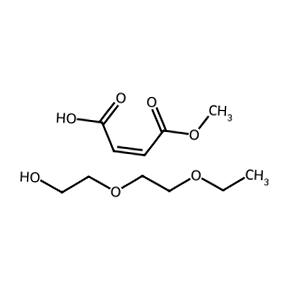 CCOCCOCCO.COC(=O)/C=C\C(=O)O